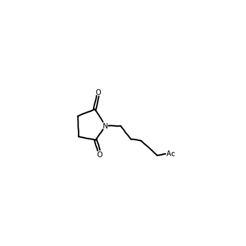 CC(=O)CCCCN1C(=O)CCC1=O